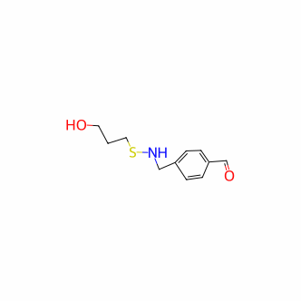 O=Cc1ccc(CNSCCCO)cc1